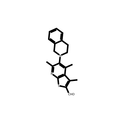 Cc1nc2sc(C=O)c(C)c2c(C)c1N1CCc2ccccc2C1